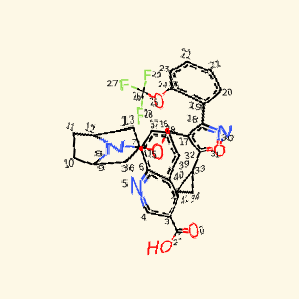 O=C(O)c1cnc2c(N3C4CCC3CC(OCc3c(-c5ccccc5OC(F)(F)F)noc3C3CC3)C4)cccc2c1